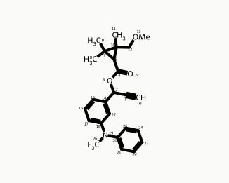 C#CC(OC(=O)C1C(C)(C)C1(C)COC)c1cccc(N(c2ccccc2)C(F)(F)F)c1